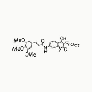 CCCCCCCCOc1c(O)c2ccc(NC(=O)/C=C/c3cc(OC)c(OC)c(OC)c3)cc2n(C)c1=O